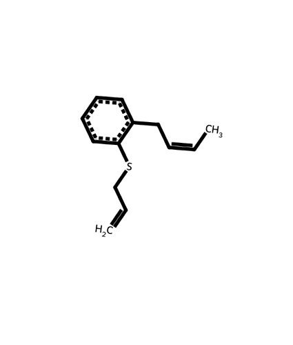 C=CCSc1ccccc1C/C=C\C